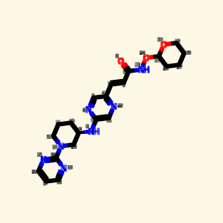 O=C(/C=C/c1cnc(N[C@@H]2CCCN(c3ncccn3)C2)cn1)NOC1CCCCO1